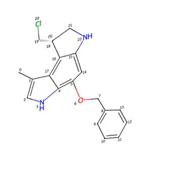 Cc1c[nH]c2c(OCc3ccccc3)cc3c(c12)[C@H](CCl)CN3